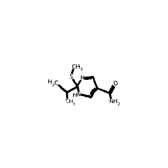 CSC1(C(C)C)N=CC(C(N)=O)=CN1